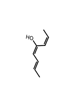 C\C=C/C(O)=C\C=C\C